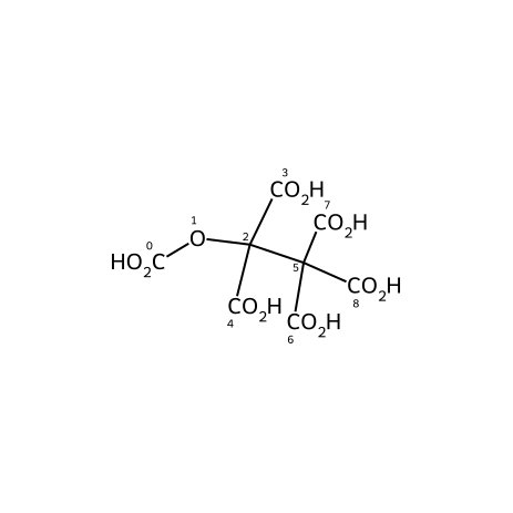 O=C(O)OC(C(=O)O)(C(=O)O)C(C(=O)O)(C(=O)O)C(=O)O